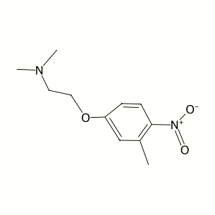 Cc1cc(OCCN(C)C)ccc1[N+](=O)[O-]